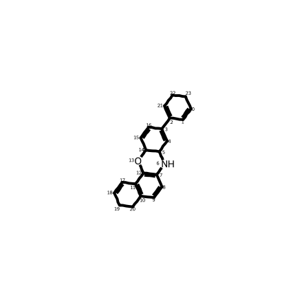 C1=CC(C2=CC3Nc4ccc5c(c4OC3C=C2)C=CCC5)=CCC1